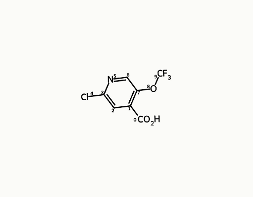 O=C(O)c1cc(Cl)ncc1OC(F)(F)F